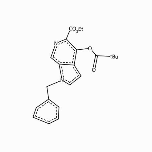 CCOC(=O)c1ncc2c(ccn2Cc2ccccc2)c1OC(=O)C(C)(C)C